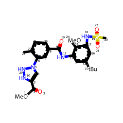 COC(=O)C1=CN(c2cc(C(=O)Nc3cc(C(C)(C)C)cc(NS(C)(=O)=O)c3OC)ccc2C)NN1